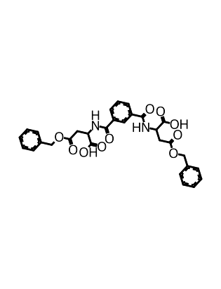 O=C(CC(NC(=O)c1cccc(C(=O)NC(CC(=O)OCc2ccccc2)C(=O)O)c1)C(=O)O)OCc1ccccc1